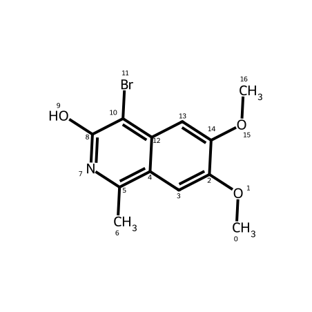 COc1cc2c(C)nc(O)c(Br)c2cc1OC